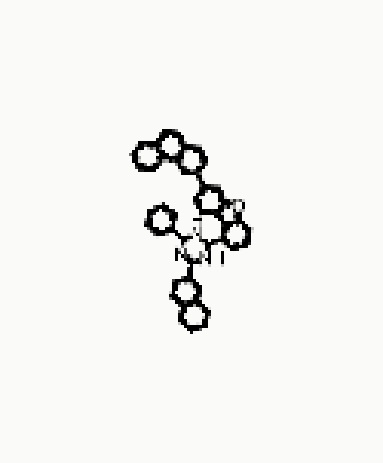 c1ccc(C2N=C(c3ccc4ccccc4c3)NC(c3cccc4oc5cc(-c6ccc7ccc8ccccc8c7c6)ccc5c34)N2)cc1